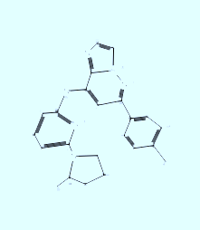 Cc1ccc(-c2cc(Nc3cccc(N4CCCC4C)n3)c3nccn3n2)cc1